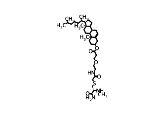 CN[C@@H](CSCC(=O)NCCOCCC(=O)O[C@H]1CCC2(C)C(=CCC3C2CC[C@@]2(C)C3CC[C@@H]2[C@H](C)CCCC(C)C)C1)C(N)=O